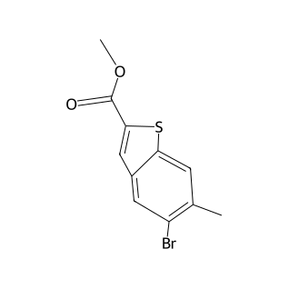 COC(=O)c1cc2cc(Br)c(C)cc2s1